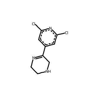 Clc1cc(C2=NCCNC2)cc(Cl)n1